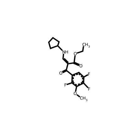 CCOC(=O)/C(=C\NC1CCCC1)C(=O)c1cc(F)c(F)c(OC)c1F